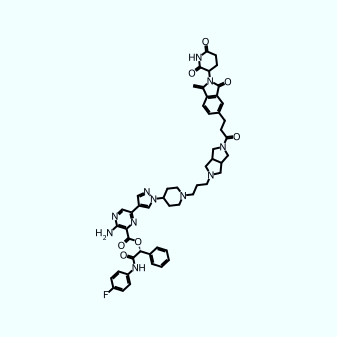 C=C1c2ccc(CCC(=O)N3CC4CN(CCCN5CCC(n6cc(-c7cnc(N)c(C(=O)O[C@@H](C(=O)Nc8ccc(F)cc8)c8ccccc8)n7)cn6)CC5)CC4C3)cc2C(=O)N1C1CCC(=O)NC1=O